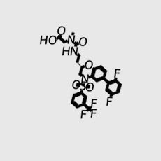 CN(CC(=O)O)C(=O)NCC[C@H]1CN(S(=O)(=O)c2cccc(C(F)(F)F)c2)c2cc(-c3cc(F)ccc3F)ccc2O1